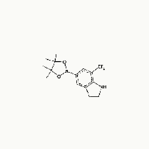 CC1(C)OB(c2cc3c(c(C(F)(F)F)c2)NCC3)OC1(C)C